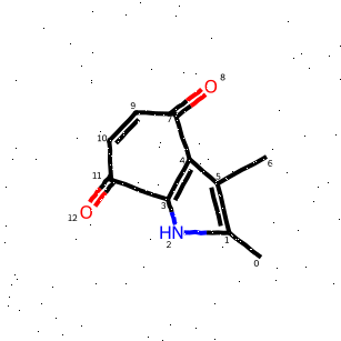 Cc1[nH]c2c(c1C)C(=O)C=CC2=O